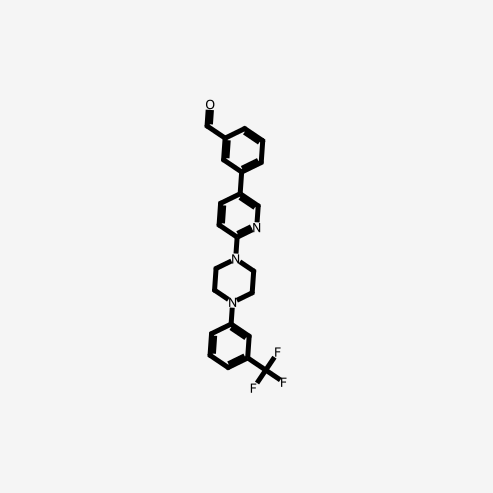 O=Cc1cccc(-c2ccc(N3CCN(c4cccc(C(F)(F)F)c4)CC3)nc2)c1